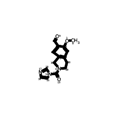 COc1cc2c(cc1C=O)CN(C(=O)n1ccnc1)CC2